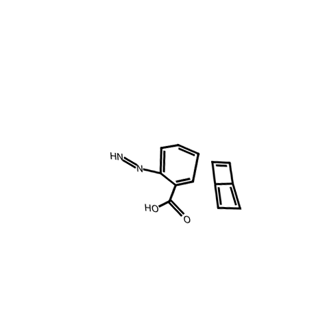 N=Nc1ccccc1C(=O)O.c1cc2ccc1-2